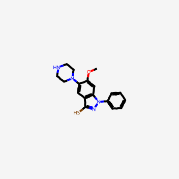 COc1cc2c(cc1N1CCNCC1)c(S)nn2-c1ccccc1